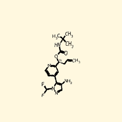 C=CC[C@H](OC(=O)NC(C)(C)C)c1cc(-c2c(N)cnn2C(F)F)ccn1